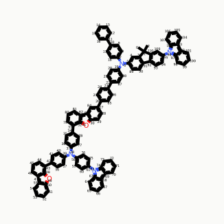 CC1(C)c2cc(N(c3ccc(-c4ccccc4)cc3)c3ccc(-c4ccc(-c5ccc6oc7c(-c8ccc(N(c9ccc(-c%10cccc%11c%10oc%10ccccc%10%11)cc9)c9ccc(-n%10c%11ccccc%11c%11ccccc%11%10)cc9)cc8)cccc7c6c5)cc4)cc3)ccc2-c2ccc(-n3c4ccccc4c4ccccc43)cc21